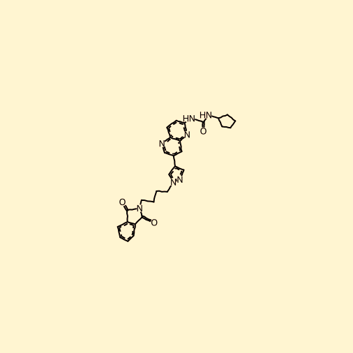 O=C(Nc1ccc2ncc(-c3cnn(CCCCN4C(=O)c5ccccc5C4=O)c3)cc2n1)NC1CCCC1